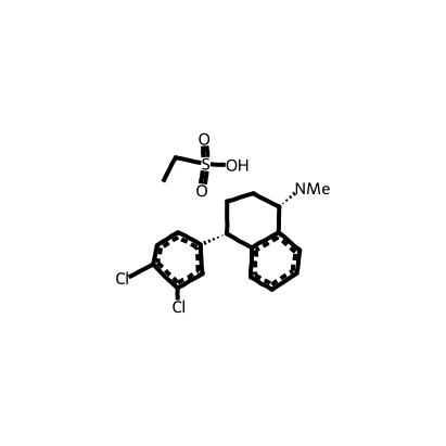 CCS(=O)(=O)O.CN[C@H]1CC[C@@H](c2ccc(Cl)c(Cl)c2)c2ccccc21